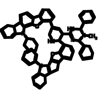 CN1C(C2=CC=CCC2)N=C(C2C=C(c3cccc4c3oc3c5c(ccc34)C3CC=CC=C3N5C3CCCCC3)CNC2c2cccc3c4c(oc23)C2=C(C4)C3CC=CC=C3N2c2ccccc2)NC1c1ccccc1